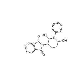 O=C1c2ccccc2C(=O)N1C1CCC(O)N(c2ccccc2)C1O